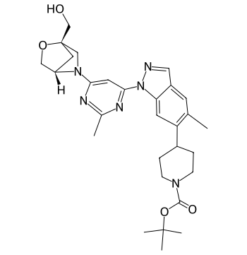 Cc1nc(N2C[C@]3(CO)C[C@H]2CO3)cc(-n2ncc3cc(C)c(C4CCN(C(=O)OC(C)(C)C)CC4)cc32)n1